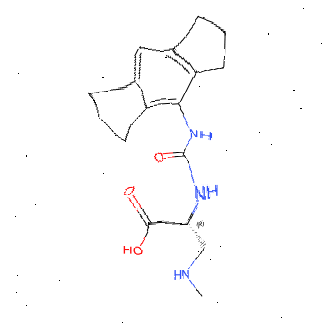 CNC[C@@H](NC(=O)Nc1c2c(cc3c1CCC3)CCC2)C(=O)O